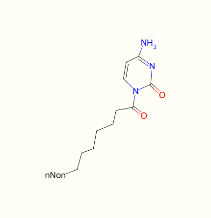 CCCCCCCCCCCCCCCC(=O)n1ccc(N)nc1=O